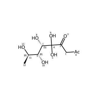 CC(=O)CC(=O)C(O)(O)[C@@H](O)[C@H](O)[C@@H](C)O